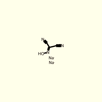 N#CC(C#N)=NO.[Na].[Na]